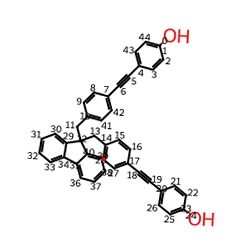 Oc1ccc(C#Cc2ccc(CC3(Cc4ccc(C#Cc5ccc(O)cc5)cc4)c4ccccc4-c4ccccc43)cc2)cc1